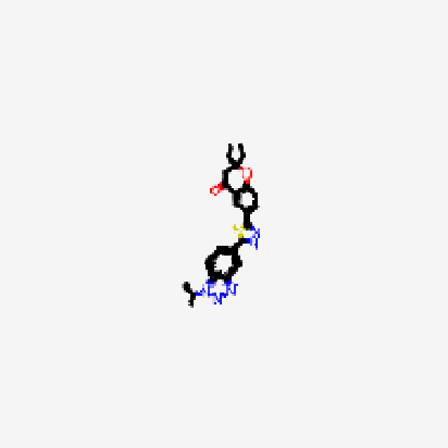 CCC1(CC)CC(=O)c2cc(-c3nnc(-c4ccc5c(c4)nnn5C(C)C)s3)ccc2O1